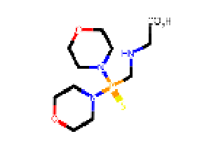 O=C(O)CNCP(=S)(N1CCOCC1)N1CCOCC1